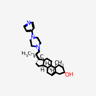 C[C@H](CN1CCN(c2ccncc2)CC1)[C@H]1CC[C@H]2[C@@H]3CC=C4CC(O)CC[C@]4(C)[C@H]3CC[C@]12C